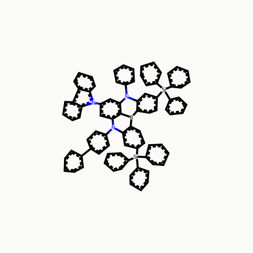 c1ccc(-c2ccc(N3c4cc([Si](c5ccccc5)(c5ccccc5)c5ccccc5)ccc4B4c5ccc([Si](c6ccccc6)(c6ccccc6)c6ccccc6)cc5N(c5ccccc5)c5cc(-n6c7ccccc7c7ccccc76)cc3c54)cc2)cc1